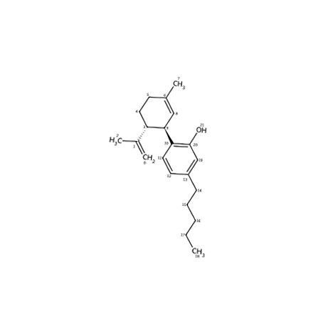 C=C(C)[C@@H]1CCC(C)=C[C@H]1c1ccc(CCCCC)cc1O